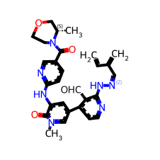 C=CC(=C)/C=N\Nc1nccc(-c2cc(Nc3ccc(C(=O)N4CCOC[C@@H]4C)cn3)c(=O)n(C)c2)c1C=O